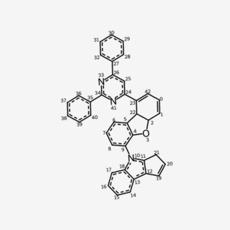 C1=CC2Oc3c(cccc3-n3c4c(c5ccccc53)C=CC4)C2C(c2cc(-c3ccccc3)nc(-c3ccccc3)n2)=C1